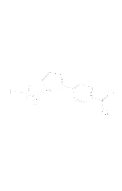 CS(=O)(=O)Nc1cccc(-c2ccc(C(N)=O)nc2)c1